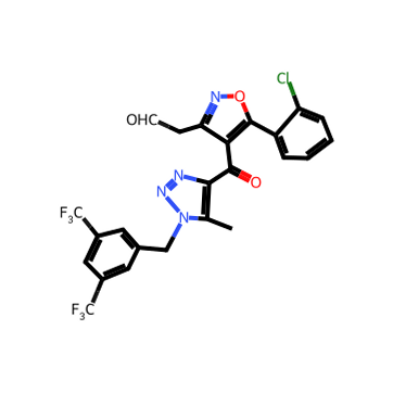 Cc1c(C(=O)c2c(CC=O)noc2-c2ccccc2Cl)nnn1Cc1cc(C(F)(F)F)cc(C(F)(F)F)c1